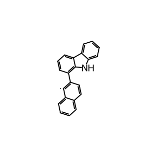 [c]1c(-c2cccc3c2[nH]c2ccccc23)ccc2ccccc12